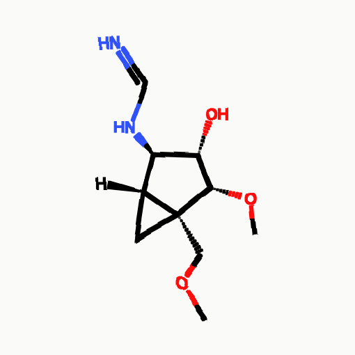 COC[C@]12C[C@@H]1[C@@H](NC=N)[C@H](O)[C@@H]2OC